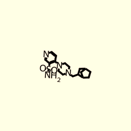 NS(=O)(=O)c1cnccc1N1CCN(CC2CC3CCC2C3)CC1